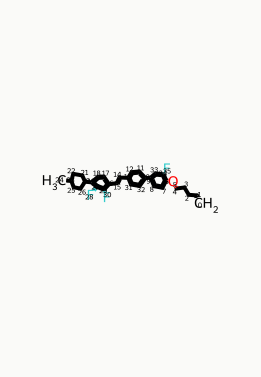 C=CCCCOc1ccc(-c2ccc(/C=C/c3ccc(C4CCC(C)CC4)c(F)c3F)cc2)cc1F